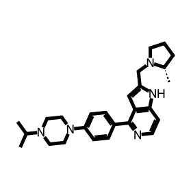 CC(C)N1CCN(c2ccc(-c3nccc4[nH]c(CN5CCC[C@@H]5C)cc34)cc2)CC1